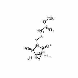 CC(C)(C)OC(=O)NCCN1C(=O)[C@H]2C[C@H]2C1=O